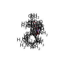 CNC(=O)c1ccccc1Sc1ccc2c(/C=C/c3ccccn3)nn(C(=O)NC3(CNC(=O)OCc4ccc(NC(=O)[C@H](CCCNC(N)=O)NC(=O)[C@@H](NC(=O)CCCC(=O)N[C@@H](C(=O)N[C@H](CCN)C(=O)N[C@@H]5CCNC(=O)[C@@H]([C@H](C)O)NC(=O)[C@@H](CCN)NC(=O)[C@@H](CCN)NC(=O)[C@@H](CC(C)C)NC(=O)[C@H](Cc6ccccc6)NC(=O)[C@@H](CCN)NC5=O)[C@H](C)O)C(C)C)cc4)CCC3)c2c1